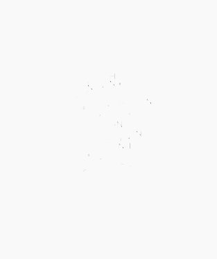 N#Cc1cnc(NCc2ccccc2F)nc1-c1c[nH]c2ncc(C(F)(F)F)cc12